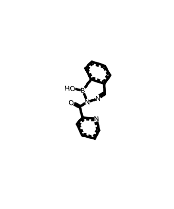 O=C(c1ccccn1)N1N=Cc2ccccc2B1O